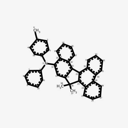 Cc1ccc(N(c2ccccc2)c2cc3c(c4ccccc24)-c2c(c4ccccc4c4ccccc24)C3(C)C)cc1